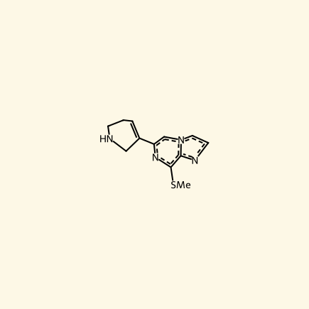 CSc1nc(C2=CCCNC2)cn2ccnc12